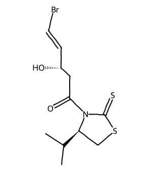 CC(C)[C@@H]1CSC(=S)N1C(=O)C[C@H](O)/C=C/Br